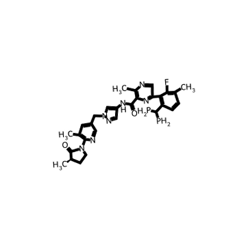 Cc1cc(Cn2cc(NC(=O)c3nc(-c4c(C(P)P)ccc(C)c4F)cnc3C)cn2)cnc1N1CC[C@@H](C)C1=O